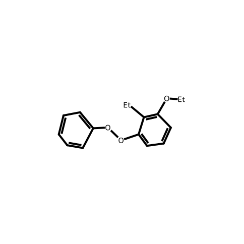 CCOc1cccc(OOc2ccccc2)c1CC